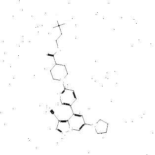 N#Cc1cnn2cc(N3CCCC3)cc(-c3ccc(N4CCC(C(=O)NCCC(F)(F)F)CC4)nc3)c12